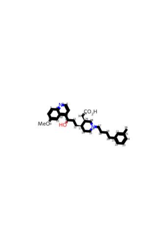 COc1ccc2nccc([C@H](O)CC[C@@H]3CCN(CCCCc4cccc(C)c4)C[C@@H]3CC(=O)O)c2c1